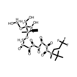 C#C[Si](C)(O[SiH2][Si](=O)[Si](=O)[Si](=O)[Si](=O)[Si](=O)[Si](=O)[Si](=O)[Si](C)(CCC(F)(F)F)C(C)(C)C)[Si](O[SiH2]O)([SiH2]O)[SiH2]O